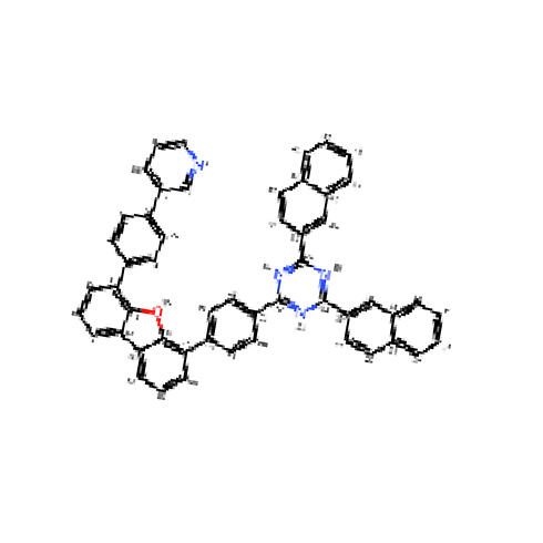 c1cncc(-c2ccc(-c3cccc4c3oc3c(-c5ccc(-c6nc(-c7ccc8ccccc8c7)nc(-c7ccc8ccccc8c7)n6)cc5)cccc34)cc2)c1